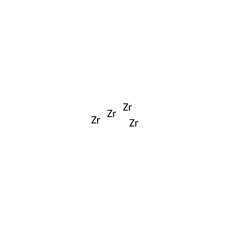 [Zr].[Zr].[Zr].[Zr]